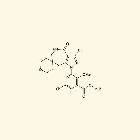 CCCOC(=O)c1cc(Cl)cc(-n2nc(CC)c3c2CC2(CCOCC2)CNC3=O)c1OC